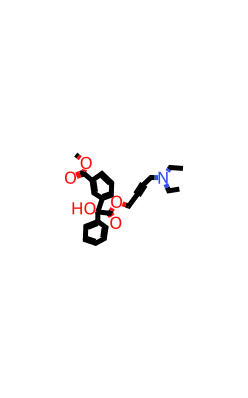 CCN(CC)CC#CCOC(=O)C(O)(c1ccccc1)c1cccc(C(=O)OC)c1